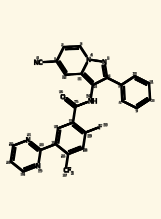 N#Cc1ccn2nc(-c3ccccc3)c(NC(=O)c3cc(-c4ncccn4)c(C(F)(F)F)cc3F)c2c1